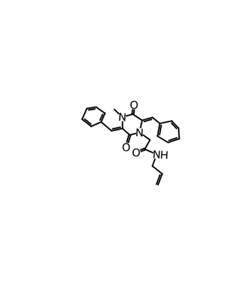 C=CCNC(=O)Cn1c(=O)c(=Cc2ccccc2)n(C)c(=O)c1=Cc1ccccc1